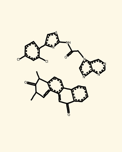 CC1C=c2c(ccc3c2=CC(=O)c2ccccc2-3)C(C)C1=O.O=C(Cn1cnc2ncncc21)Nc1nc(-c2ccc(Cl)cc2Cl)cs1